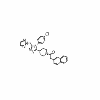 O=C(Cc1ccc2ccccc2c1)N1CCC(c2nnc(Cn3nccn3)n2-c2ccc(Cl)cc2)CC1